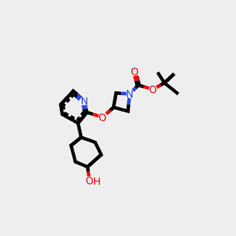 CC(C)(C)OC(=O)N1CC(Oc2ncccc2C2CCC(O)CC2)C1